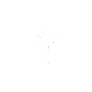 c1ccc(-c2ncc3c(n2)-c2ccccc2C3(c2ccccc2)c2ccccc2)cc1